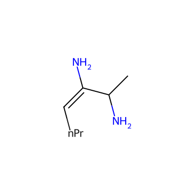 CCC/C=C(/N)C(C)N